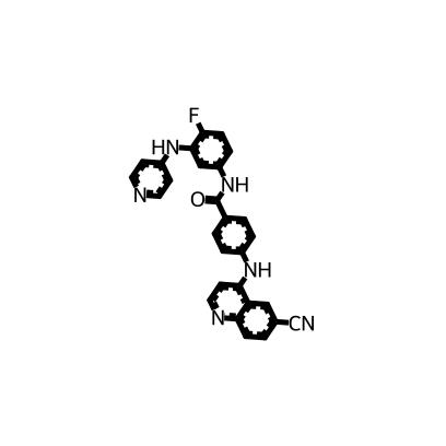 N#Cc1ccc2nccc(Nc3ccc(C(=O)Nc4ccc(F)c(Nc5ccncc5)c4)cc3)c2c1